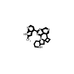 FC(F)(F)c1cc2c(-c3nc(N4CCC5NCCCC54)c4c(C5CCC5)cncc4n3)ccnc2[nH]1